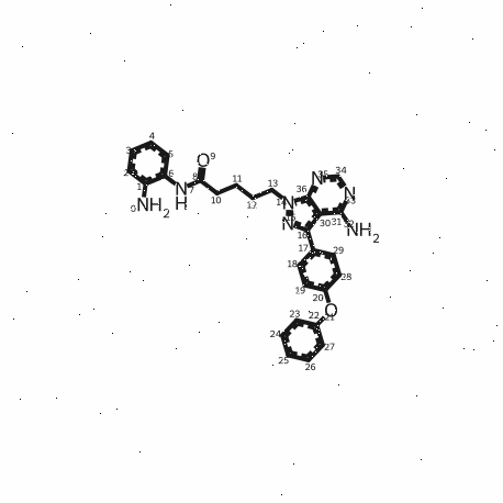 Nc1ccccc1NC(=O)CCCCn1nc(-c2ccc(Oc3ccccc3)cc2)c2c(N)ncnc21